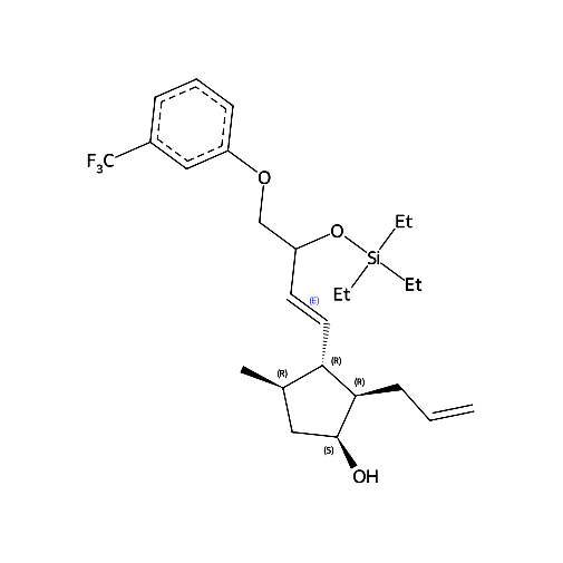 C=CC[C@@H]1[C@@H](/C=C/C(COc2cccc(C(F)(F)F)c2)O[Si](CC)(CC)CC)[C@H](C)C[C@@H]1O